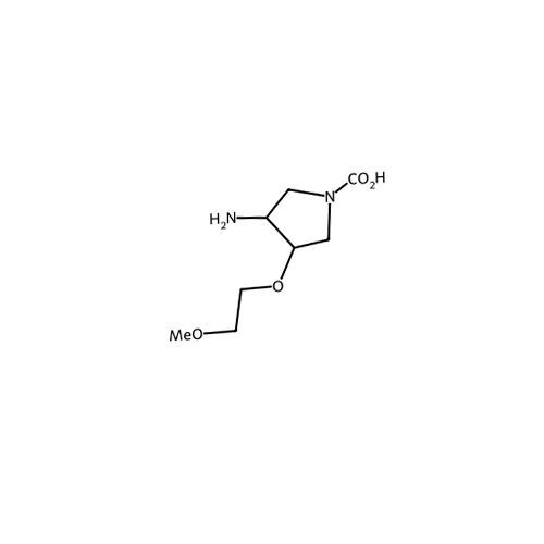 COCCOC1CN(C(=O)O)CC1N